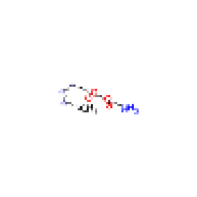 CCCCC/C=C\C/C=C\C/C=C\CCCCC(=O)OCCCOC(=O)CCCN